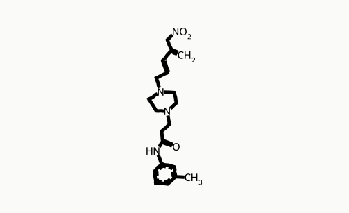 C=C(/C=C/CN1CCN(CCC(=O)Nc2cccc(C)c2)CC1)C[N+](=O)[O-]